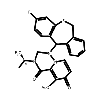 CC(=O)Oc1c2n(ccc1=O)N(C1c3ccccc3CSc3cc(F)ccc31)CN([C@@H](C)C(F)(F)F)C2=O